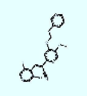 COc1cnc(C(C#N)=Cc2c(Cl)cncc2Cl)cc1OCCc1ccccc1